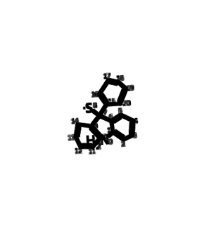 Nc1ccccc1C([S])(c1ccccc1)c1ccccc1